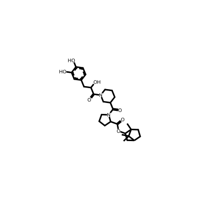 CC1(C)C2CCC1(C)C(OC(=O)C1CCCN1C(=O)C1CCCN(C(=O)C(O)Cc3ccc(O)c(O)c3)C1)C2